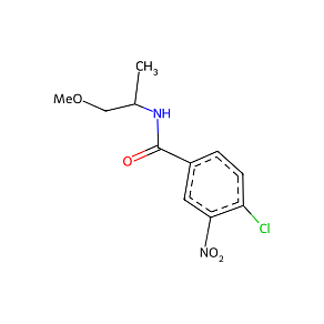 COCC(C)NC(=O)c1ccc(Cl)c([N+](=O)[O-])c1